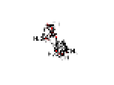 C=C(F)C(=O)N1CCN(c2nc(OCCN3CCC4(CC3)CN(c3cc([C@H](C(=O)N5C[C@H](O)C[C@H]5C(=O)N[C@@H](C)c5ccc(-c6ccnn6C)cc5)C(C)C)on3)C4)nc3c(F)c(-c4cc(O)cc5ccccc45)c(Cl)cc23)C[C@@H]1CC#N